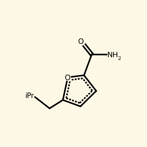 CC(C)Cc1ccc(C(N)=O)o1